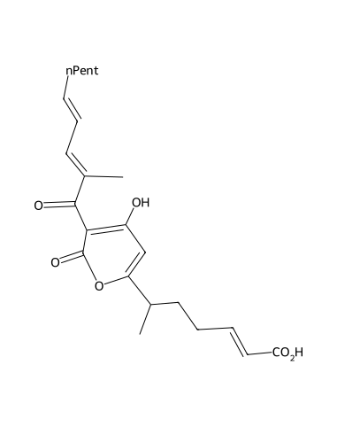 CCCCC/C=C/C=C(\C)C(=O)c1c(O)cc(C(C)CC/C=C/C(=O)O)oc1=O